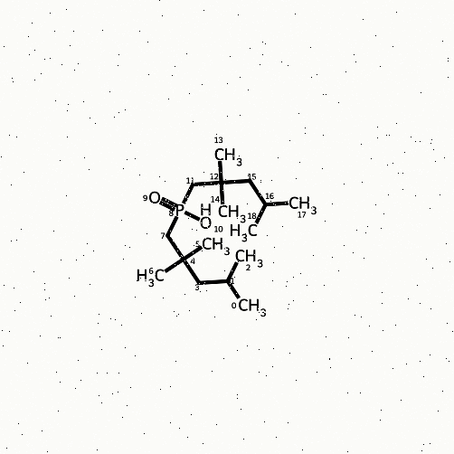 CC(C)CC(C)(C)CP(=O)(O)CC(C)(C)CC(C)C